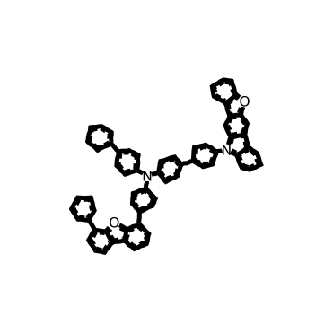 c1ccc(-c2ccc(N(c3ccc(-c4ccc(-n5c6ccccc6c6cc7oc8ccccc8c7cc65)cc4)cc3)c3ccc(-c4cccc5c4oc4c(-c6ccccc6)cccc45)cc3)cc2)cc1